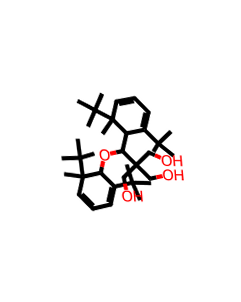 CC(C)(C)C1=CC=CC(C)(C(C)(C)C)C1OC(C1C(C(C)(C)C)=CC=CC1(C)C(C)(C)C)C(CO)(CO)CO